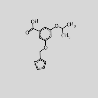 CC(C)Oc1cc(OCc2cccs2)cc(C(=O)O)c1